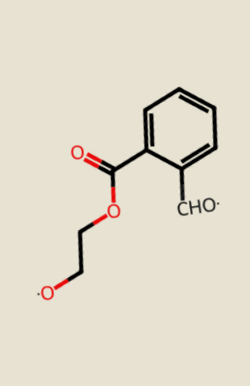 [O]CCOC(=O)c1ccccc1[C]=O